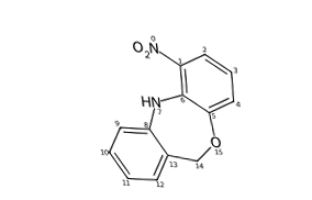 O=[N+]([O-])c1cccc2c1Nc1ccccc1CO2